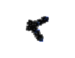 c1ccc2c(c1)-c1ccccc1C2(c1ccc(-[n+]2ccc(-c3ccncc3)cc2)cc1)c1ccc(-[n+]2ccc(-c3ccncc3)cc2)cc1